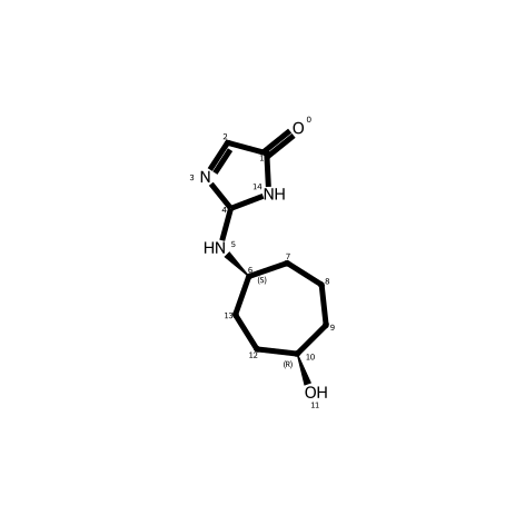 O=C1C=NC(N[C@H]2CCC[C@@H](O)CC2)N1